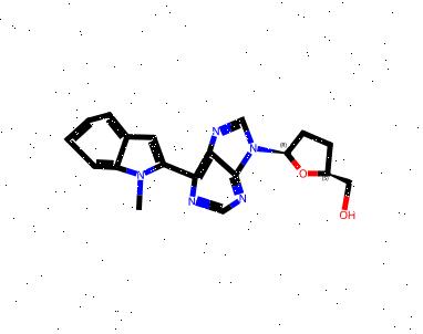 Cn1c(-c2ncnc3c2ncn3[C@H]2CC[C@@H](CO)O2)cc2ccccc21